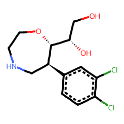 OC[C@H](O)[C@H]1OCCNC[C@@H]1c1ccc(Cl)c(Cl)c1